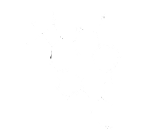 CCC[C@@H](NC(=O)N1C(=O)C(CC)(CC)[C@@H]1Oc1ccc([C@@H](COC)N(C)C)cc1)c1ccc(C)cc1